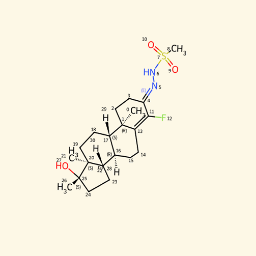 C[C@]12CC/C(=N\NS(C)(=O)=O)C(F)=C1CC[C@@H]1[C@@H]2CC[C@@]2(C)[C@H]1CC[C@]2(C)O